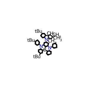 CC1(C)CC2(C)c3cc(C(C)(C)C)ccc3N(c3cc4c5c(c3)N(c3ccc(C(C)(C)C)cc3)c3ccc(C(C)(C)C)cc3B5c3ccccc3N4c3ccccc3)C2(C)C1